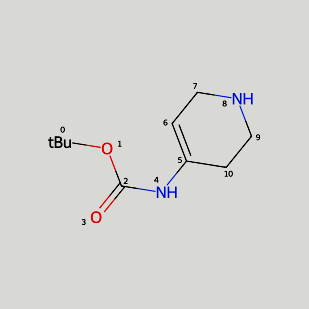 CC(C)(C)OC(=O)NC1=CCNCC1